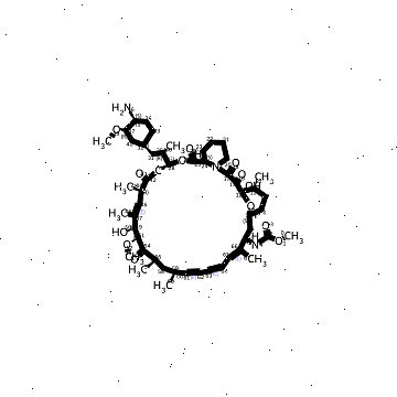 COC(=O)NC1C[C@@H]2CC[C@@H](C)[C@@](O)(O2)C(=O)C(=O)N2CCCC[C@H]2C(=O)O[C@H]([C@H](C)C[C@@H]2CC[C@H](N)[C@H](OC)C2)CC(=O)[C@H](C)/C=C(\C)[C@@H](O)[C@@H](OC)C(=O)[C@H](C)C[C@H](C)/C=C/C=C/C=C/1C